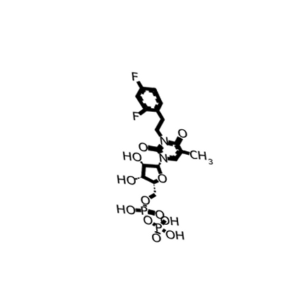 Cc1cn([C@@H]2O[C@H](COP(=O)(O)OP(=O)(O)O)[C@H](O)[C@@H]2O)c(=O)n(CCc2ccc(F)cc2F)c1=O